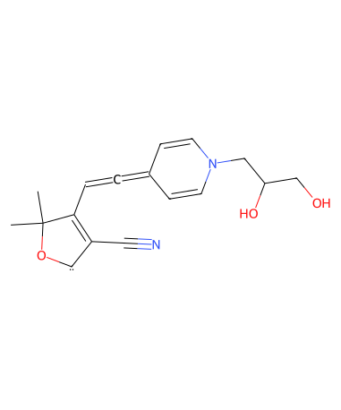 CC1(C)O[C]C(C#N)=C1C=C=C1C=CN(CC(O)CO)C=C1